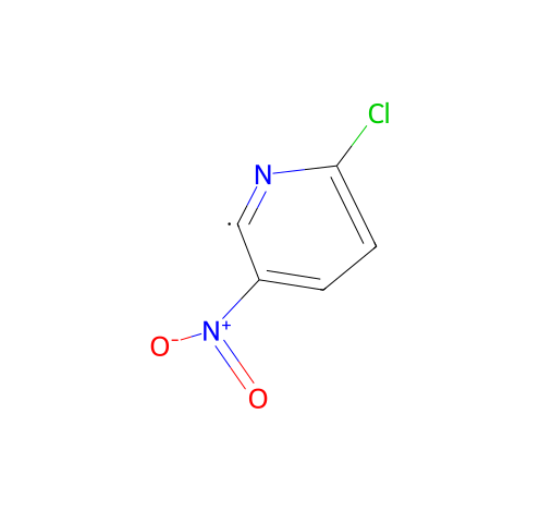 O=[N+]([O-])c1[c]nc(Cl)cc1